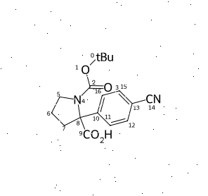 CC(C)(C)OC(=O)N1CCCC1(C(=O)O)c1ccc(C#N)cc1